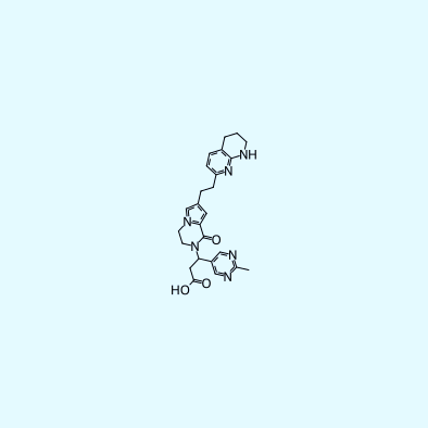 Cc1ncc(C(CC(=O)O)N2CCn3cc(CCc4ccc5c(n4)NCCC5)cc3C2=O)cn1